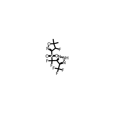 CC1(C)ON=C(S(=O)(=O)C(F)(F)c2n[nH]nc2C(F)(F)F)C1F